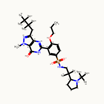 [2H]C([2H])(CNS(=O)(=O)c1ccc(OCCC)c(-c2nc3c(CC([2H])([2H])C([2H])([2H])[2H])nn(C)c3c(=O)[nH]2)c1)C1CCCN1C([2H])([2H])[2H]